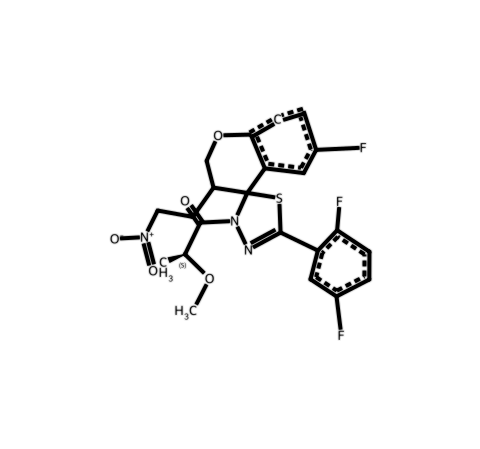 CO[C@@H](C)C(=O)N1N=C(c2cc(F)ccc2F)SC12c1cc(F)ccc1OCC2CC[N+](=O)[O-]